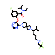 CCN(C(=O)c1cc(F)ccc1Oc1nncnc1N1CCC2(C1)CN([C@H](CCCNCC(F)(F)F)C(C)C)C2)C(C)C